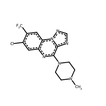 CN1CCN(c2nc3cc(Cl)c(C(F)(F)F)cc3n3ncnc23)CC1